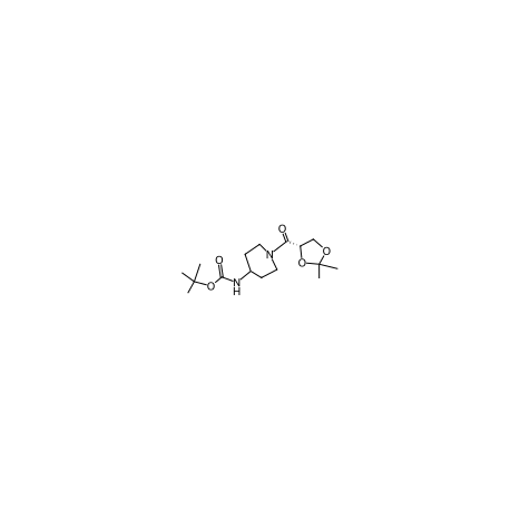 CC(C)(C)OC(=O)NC1CCN(C(=O)[C@@H]2COC(C)(C)O2)CC1